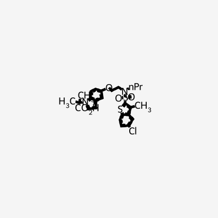 CCCN(CCOc1ccc2c(ccn2C(C)(C)C(=O)O)c1)S(=O)(=O)c1sc2ccc(Cl)cc2c1C